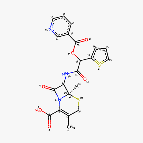 CC1=C(C(=O)O)N2C(=O)C(NC(=O)C(OC(=O)c3cccnc3)c3cccs3)[C@H]2SC1